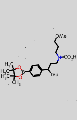 COCCCN(CCC(c1ccc(B2OC(C)(C)C(C)(C)O2)cc1)C(C)(C)C)C(=O)O